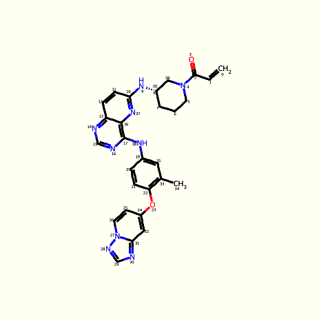 C=CC(=O)N1CCC[C@H](Nc2ccc3ncnc(Nc4ccc(Oc5ccn6ncnc6c5)c(C)c4)c3n2)C1